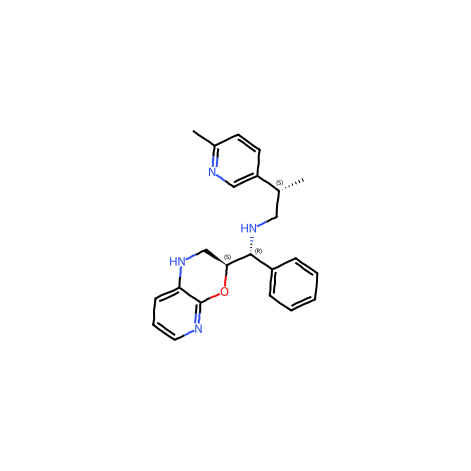 Cc1ccc([C@H](C)CN[C@H](c2ccccc2)[C@@H]2CNc3cccnc3O2)cn1